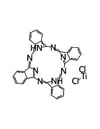 [Cl][Ti][Cl].c1ccc2c(c1)-c1nc-2nc2[nH]c(nc3nc(nc4[nH]c(n1)c1ccccc41)-c1ccccc1-3)c1ccccc21